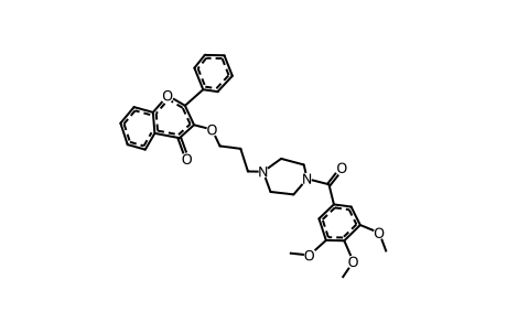 COc1cc(C(=O)N2CCN(CCCOc3c(-c4ccccc4)oc4ccccc4c3=O)CC2)cc(OC)c1OC